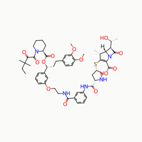 CCC(C)(C)C(=O)C(=O)N1CCCC[C@H]1C(=O)O[C@H](CCc1ccc(OC)c(OC)c1)c1cccc(OCCNC(=O)c2cccc(NC(=O)[C@@H]3C[C@H](SC4=C(C(=O)O)N5C(=O)[C@H]([C@@H](C)O)[C@H]5[C@H]4C)CN3)c2)c1